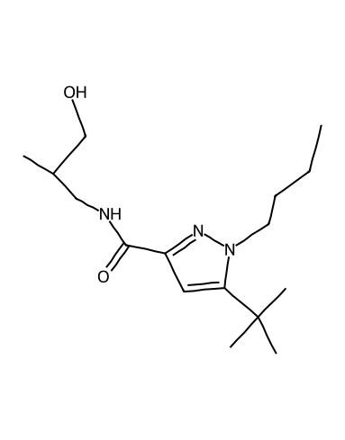 CCCCn1nc(C(=O)NCC(C)CO)cc1C(C)(C)C